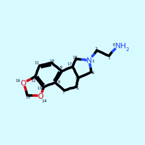 NCCN1CC2CCc3c(ccc4c3OCO4)C2C1